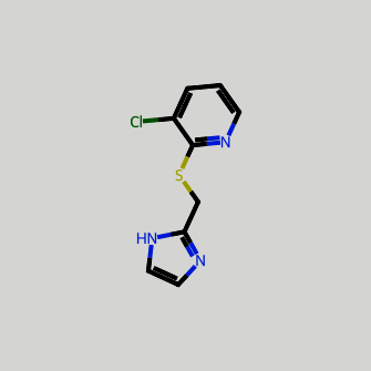 Clc1cccnc1SCc1ncc[nH]1